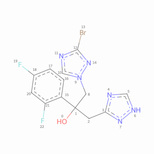 OC(Cc1nc[nH]n1)(Cn1cnc(Br)n1)c1ccc(F)cc1F